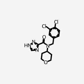 O=C(c1nc[nH]n1)N(Cc1ccc(Cl)c(Cl)c1)C1CCOCC1